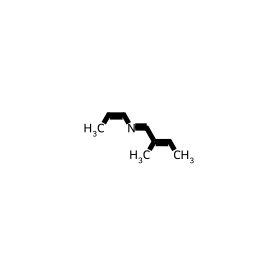 C\C=C/N=C/C(C)=C/C